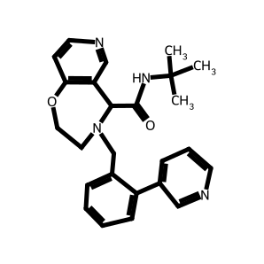 CC(C)(C)NC(=O)C1c2cnccc2OCCN1Cc1ccccc1-c1cccnc1